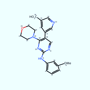 COc1cccc(Nc2ncc(-c3cncc(C(=O)O)c3)c(N3CCOCC3)n2)c1